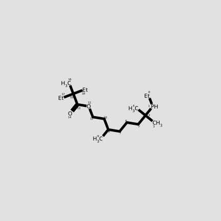 CCPC(C)(C)CCCC(C)CCOC(=O)C(C)(CC)CC